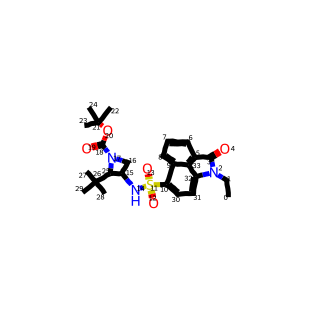 CCN1C(=O)c2cccc3c(S(=O)(=O)NC4CN(C(=O)OC(C)(C)C)C4C(C)(C)C)ccc1c23